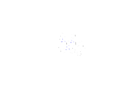 CC(C)(C)c1ccc(N2c3cc(N4c5ccccc5C5(C)CCCCC45C)cc4c3B3c5c(cccc5C(c5ccccc5)(c5ccccc5)c5cc(C(C)(C)C)cc2c53)N4c2cc(C(C)(C)C)cc(C(C)(C)C)c2)cc1